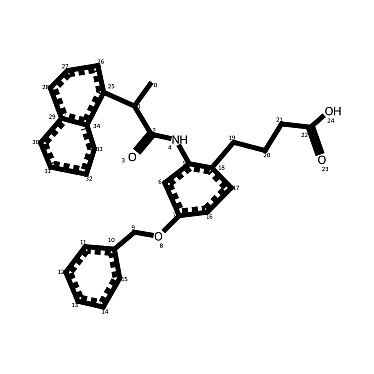 CC(C(=O)Nc1cc(OCc2ccccc2)ccc1CCCC(=O)O)c1cccc2ccccc12